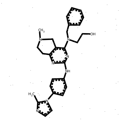 Cc1nccn1-c1ccc(Nc2nc3c(c(N(CCO)Cc4ccccc4)n2)CN(C)CC3)cc1